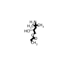 C=CC(=O)OCCCC(C)(C)N.Cl